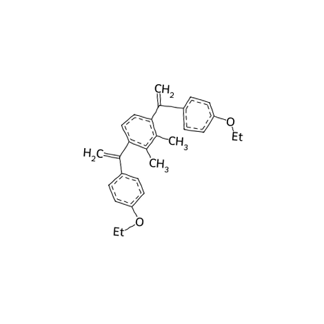 C=C(c1ccc(OCC)cc1)c1ccc(C(=C)c2ccc(OCC)cc2)c(C)c1C